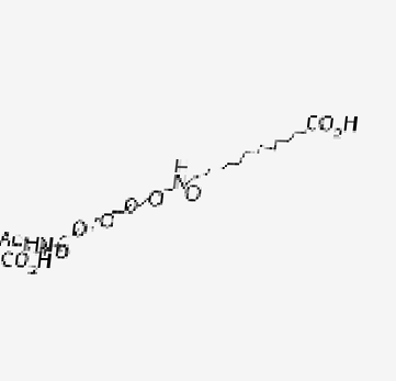 CC(=O)CC[C@H](NC(=O)CCOCCOCCOCCOCCNC(=O)CCCCCCCCCCCCCCC(=O)O)C(=O)O